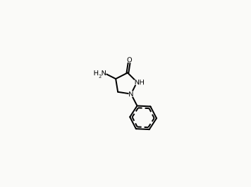 NC1CN(c2ccccc2)NC1=O